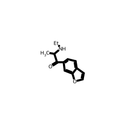 CCNC(C)C(=O)c1ccc2ccoc2c1